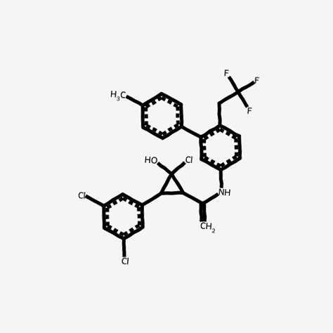 C=C(Nc1ccc(CC(F)(F)F)c(-c2ccc(C)cc2)c1)C1C(c2cc(Cl)cc(Cl)c2)C1(O)Cl